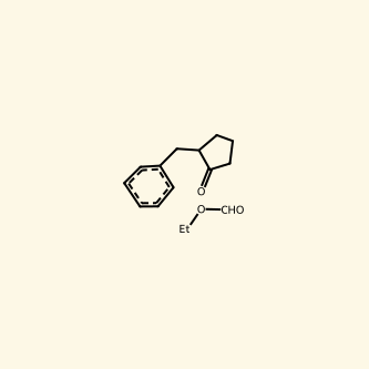 CCOC=O.O=C1CCCC1Cc1ccccc1